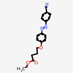 CCOC(=O)CCCOc1ccc(/N=N/c2ccc(C#N)cc2)cc1